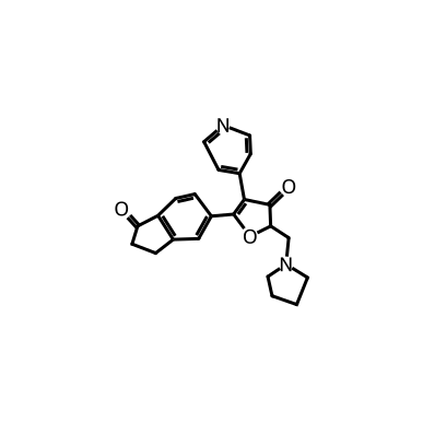 O=C1CCc2cc(C3=C(c4ccncc4)C(=O)C(CN4CCCC4)O3)ccc21